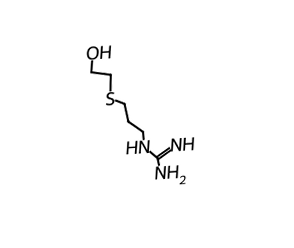 N=C(N)NCCCSCCO